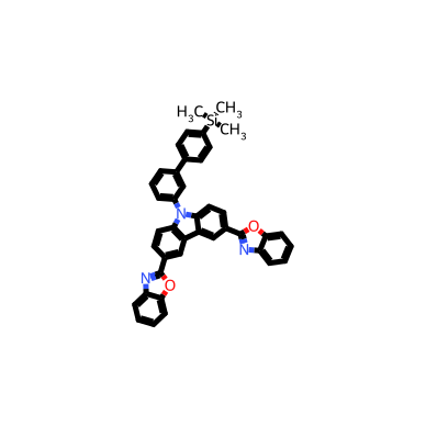 C[Si](C)(C)c1ccc(-c2cccc(-n3c4ccc(-c5nc6ccccc6o5)cc4c4cc(-c5nc6ccccc6o5)ccc43)c2)cc1